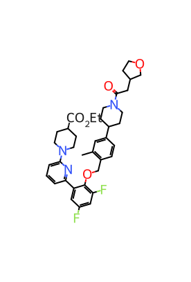 CCOC(=O)C1CCN(c2cccc(-c3cc(F)cc(F)c3OCc3ccc(C4CCN(C(=O)CC5CCOC5)CC4)cc3C)n2)CC1